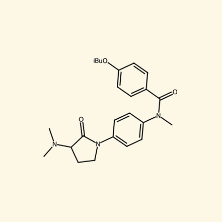 CC(C)COc1ccc(C(=O)N(C)c2ccc(N3CCC(N(C)C)C3=O)cc2)cc1